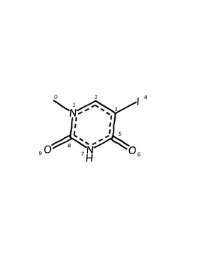 Cn1cc(I)c(=O)[nH]c1=O